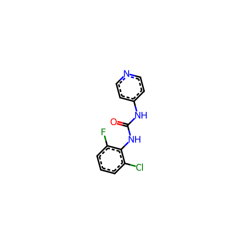 O=C(Nc1ccncc1)Nc1c(F)cccc1Cl